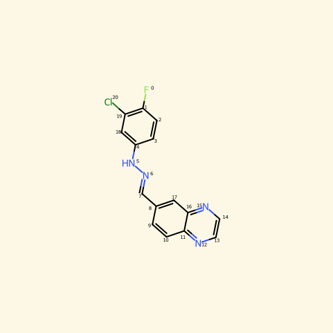 Fc1ccc(NN=Cc2ccc3nccnc3c2)cc1Cl